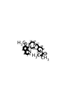 COc1ccc2cccnc2c1N1CCCN(CC2CCN(C(=O)C(C)C)CC2)CC1